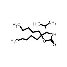 CCCCCC1(CCCCC)OC(=O)N[C@H]1C(C)C